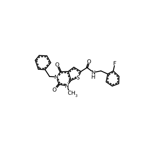 Cn1c(=O)n(Cc2ccccc2)c(=O)c2cc(C(=O)NCc3ccccc3F)sc21